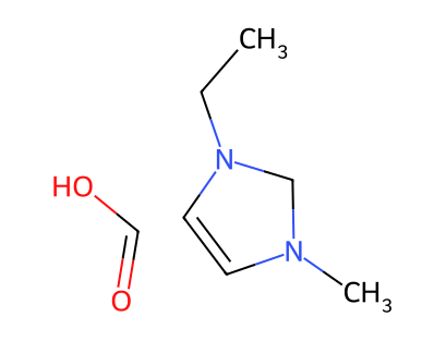 CCN1C=CN(C)C1.O=CO